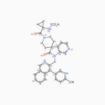 N#Cc1ccc(-c2c(CN3C(=O)C4(CCN(C(=O)C5(NC(=O)O)CC5)CC4)c4ccncc43)ncc3ccccc23)cn1